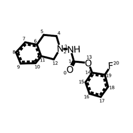 O=C(NN1CCc2ccccc2C1)Oc1ccccc1F